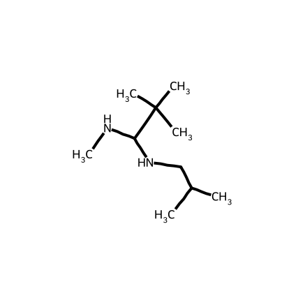 CNC(NCC(C)C)C(C)(C)C